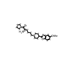 COc1ccc2sc(C3CCN(CCCC[C@H](N)C(=O)N4CCSC4)CC3)nc2c1